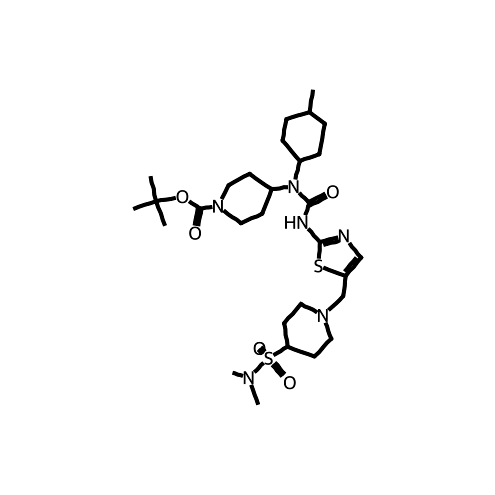 CC1CCC(N(C(=O)Nc2ncc(CN3CCC(S(=O)(=O)N(C)C)CC3)s2)C2CCN(C(=O)OC(C)(C)C)CC2)CC1